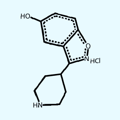 Cl.Oc1ccc2onc(C3CCNCC3)c2c1